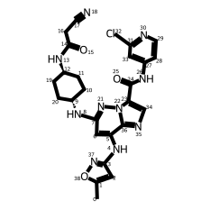 Cc1cc(Nc2cc(N[C@H]3CC[C@H](NC(=O)CC#N)CC3)nn3c(C(=O)Nc4ccnc(Cl)c4)cnc23)no1